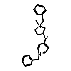 C[N+]1(Cc2ccccc2)CCC(Oc2cc[n+](Cc3ccccc3)cc2)C1